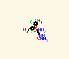 Cc1ccc(B(OC(=O)C(N)CCCNC(N)=O)c2ccc(C)c(Cl)c2)cc1Cl